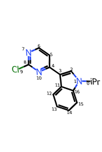 CC(C)n1cc(-c2ccnc(Cl)n2)c2ccccc21